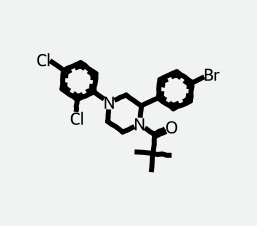 CC(C)(C)C(=O)N1CCN(c2ccc(Cl)cc2Cl)CC1c1ccc(Br)cc1